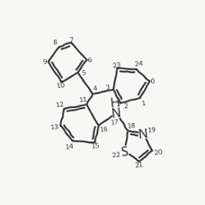 c1ccc(C(c2ccccc2)c2ccccc2Nc2nccs2)cc1